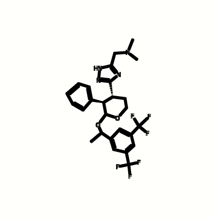 CC(OC1OCC[C@@H](c2n[nH]c(CN(C)C)n2)[C@@H]1c1ccccc1)c1cc(C(F)(F)F)cc(C(F)(F)F)c1